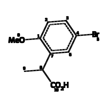 COc1ccc(Br)cc1C(C)C(=O)O